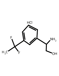 CC(F)(F)c1cccc(C(N)CO)c1.Cl